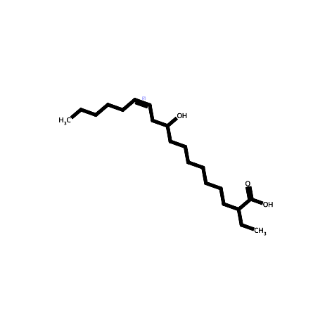 CCCCC/C=C\CC(O)CCCCCCCC(CC)C(=O)O